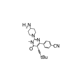 Cn1c(N2CCC(N)CC2)nc(-c2ccc(C#N)cc2)c(C#CC(C)(C)C)c1=O